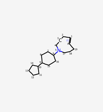 C1=C/CCCN(C2CCC(C3CCCC3)CC2)CCC/1